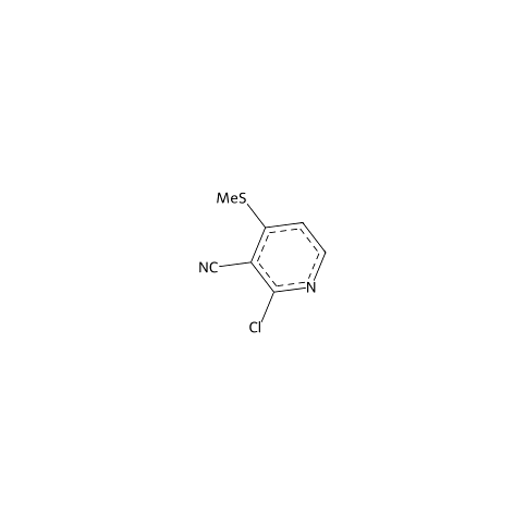 CSc1ccnc(Cl)c1C#N